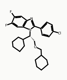 Fc1cc2nc(-c3ccc(Cl)cc3)n([C@H](COCC3CCCCC3)C3CCCCC3)c2cc1F